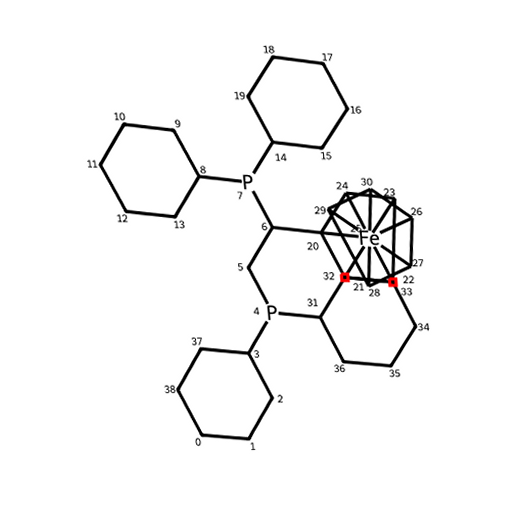 C1CCC(P(CC(P(C2CCCCC2)C2CCCCC2)[C]23[CH]4[CH]5[CH]6[CH]2[Fe]56432789[CH]3[CH]2[CH]7[CH]8[CH]39)C2CCCCC2)CC1